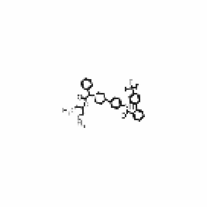 CCC(CC)OC(=O)C(c1ccccc1)N1CCC(c2ccc(NC(=O)c3ccccc3-c3ccc(C(F)(F)F)cc3)cc2)CC1